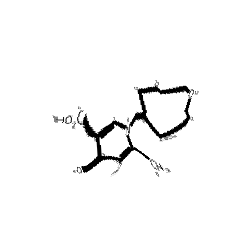 Cc1cc(=O)c(C(=O)O)cn1C1CCOCC1